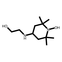 CC1(C)CC(NCCO)CC(C)(C)N1O